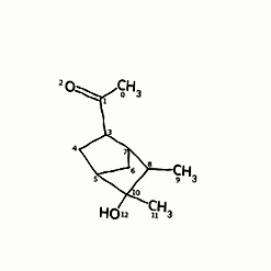 CC(=O)C1CC2CC1C(C)C2(C)O